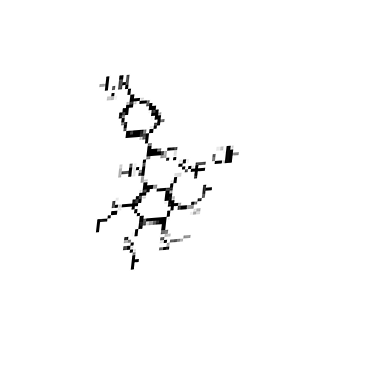 Cl.Nc1ccc(C(=O)Nc2c(SF)c(SF)c(SF)c(SF)c2SF)cc1